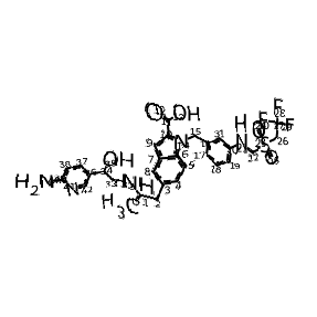 CC(Cc1ccc2c(c1)cc(C(=O)O)n2Cc1cccc(NCS(=O)(=O)CC(F)(F)F)c1)NCC(O)c1ccc(N)nc1